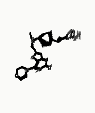 CN(Cc1cc2nc(Cl)nc(N3CCOCC3)c2s1)c1ccc(/C=C/C(=O)O)cc1